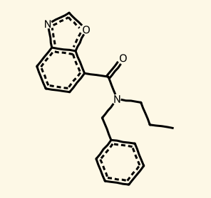 CCCN(Cc1ccccc1)C(=O)c1cccc2ncoc12